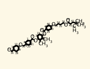 Cc1c(OC(=O)c2ccc(COc3ccc(C=O)cc3)cc2)ccc(OC(=O)c2ccc(OCCCCOC(=O)CCC(C)(C)C)cc2)c1C